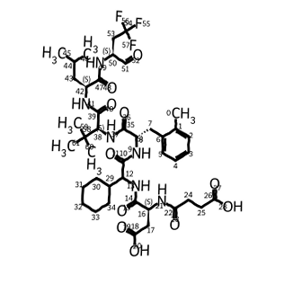 Cc1ccccc1C[C@H](NC(=O)C(NC(=O)[C@H](CC(=O)O)NC(=O)CCC(=O)O)C1CCCCC1)C(=O)N[C@H](C(=O)N[C@@H](CC(C)C)C(=O)N[C@H](C=O)CC(F)(F)F)C(C)(C)C